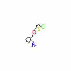 CN(C)Cc1ccccc1CCOCc1ccc(Cl)s1